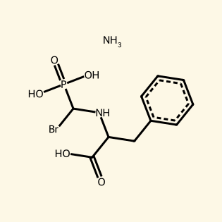 N.O=C(O)C(Cc1ccccc1)NC(Br)P(=O)(O)O